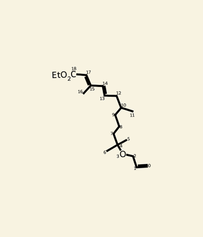 C=CCOC(C)(C)CCCC(C)C/C=C/C(C)=C/C(=O)OCC